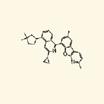 Cc1cc(-c2nc(C3CC3)cc3c(C4CCC(C)(C)C4)cccc23)c2oc3nc(C)ccc3c2c1